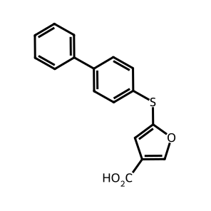 O=C(O)c1coc(Sc2ccc(-c3ccccc3)cc2)c1